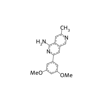 COc1cc(OC)cc(-c2cc3cnc(C)cc3c(N)n2)c1